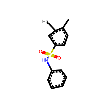 Cc1ccc(S(=O)(=O)Nc2ccccc2)c[c]1[Hg]